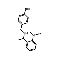 CCN(C)c1ccccc1C(C)NCc1ccc(C(C)(C)C)cc1